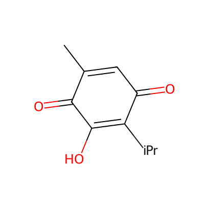 CC1=CC(=O)C(C(C)C)=C(O)C1=O